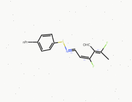 CCCc1ccc(S/N=C/C=C(F)\C(C=O)=C(/C)F)cc1